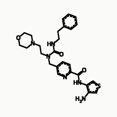 Nc1cscc1NC(=O)c1ccc(CN(CCN2CCOCC2)C(=O)NCCc2ccccc2)cn1